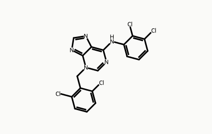 Clc1cccc(Nc2ncn(Cc3c(Cl)cccc3Cl)c3ncnc2-3)c1Cl